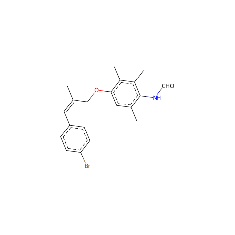 CC(=Cc1ccc(Br)cc1)COc1cc(C)c(NC=O)c(C)c1C